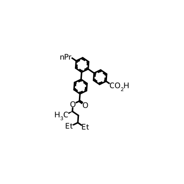 CCCc1ccc(-c2ccc(C(=O)O)cc2)c(-c2ccc(C(=O)O[C@H](C)CC(CC)CC)cc2)c1